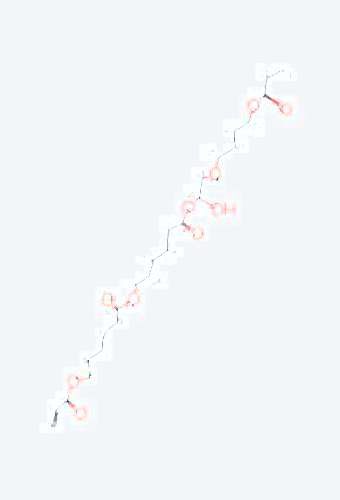 C=CC(=O)OCCCCCC(=O)OCCCCCC(=O)OC(O)COCCCCOC(=O)CC